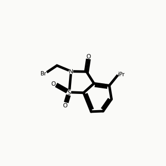 CC(C)c1cccc2c1C(=O)N(CBr)S2(=O)=O